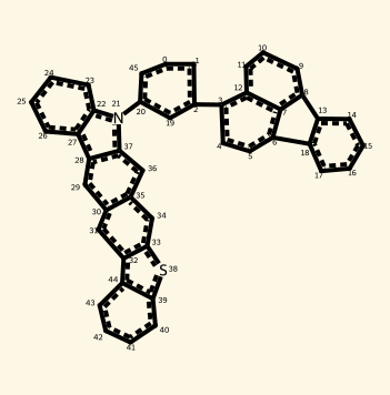 c1cc(-c2ccc3c4c(cccc24)-c2ccccc2-3)cc(-n2c3ccccc3c3cc4cc5c(cc4cc32)sc2ccccc25)c1